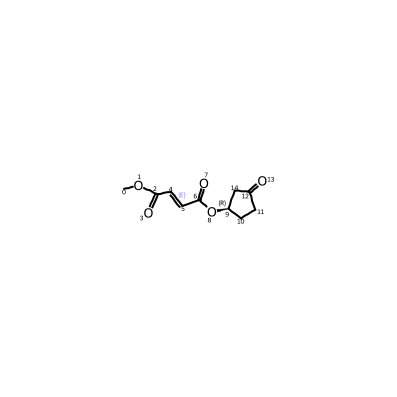 COC(=O)/C=C/C(=O)O[C@@H]1CCC(=O)C1